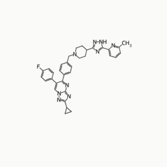 Cc1cccc(-c2nc(C3CCN(Cc4ccc(-c5nc6nc(C7CC7)nn6cc5-c5ccc(F)cc5)cc4)CC3)n[nH]2)n1